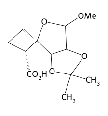 COC1O[C@@]2(CC[C@H]2C(=O)O)C2OC(C)(C)OC12